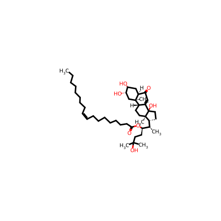 CCCCCCCC/C=C\CCCCCCCC(=O)O[C@H](CCC(C)(C)O)[C@@H](C)[C@H]1CC[C@@]2(O)C3=CC(=O)[C@@H]4C[C@@H](O)[C@@H](O)C[C@]4(C)[C@H]3CC[C@]12C